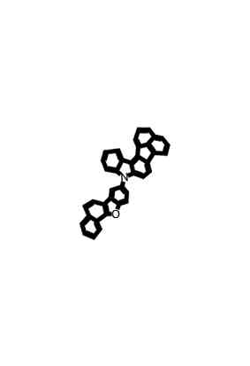 c1cc2c3c(cccc3c1)-c1c-2ccc2c1c1ccccc1n2-c1ccc2oc3c4ccccc4ccc3c2c1